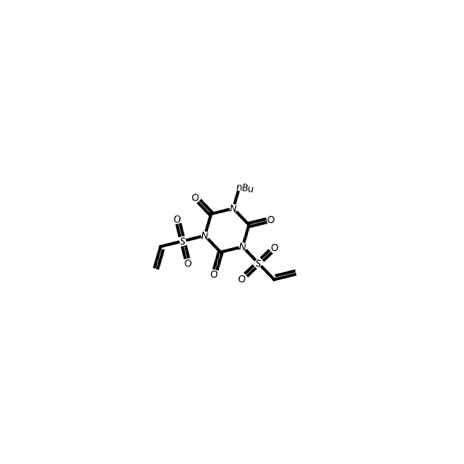 C=CS(=O)(=O)n1c(=O)n(CCCC)c(=O)n(S(=O)(=O)C=C)c1=O